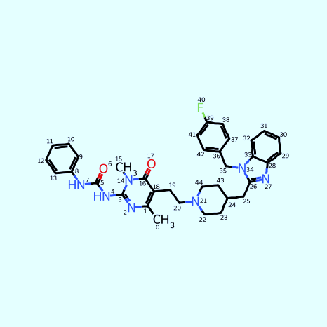 Cc1nc(NC(=O)Nc2ccccc2)n(C)c(=O)c1CCN1CCC(Cc2nc3ccccc3n2Cc2ccc(F)cc2)CC1